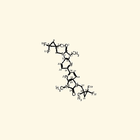 Cn1c(=O)n(CC2(C)CC2(F)F)c2ccc(-c3ccc4c(n3)n(C)c(=O)n4CC3(C)CC3(F)F)nc21